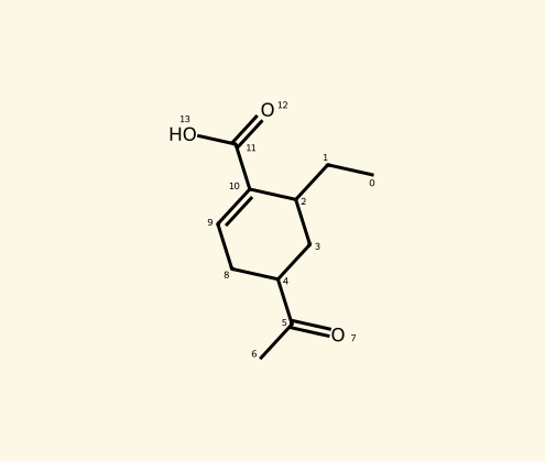 CCC1CC(C(C)=O)CC=C1C(=O)O